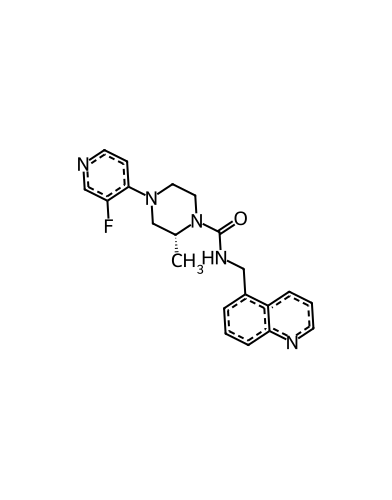 C[C@@H]1CN(c2ccncc2F)CCN1C(=O)NCc1cccc2ncccc12